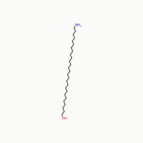 NCCCCCCCCCCCCCCCCCCCCCCCCCCCO